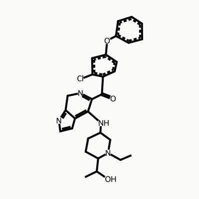 CCN1CC(NC2=C3C=CN=C3CN=C2C(=O)c2ccc(Oc3ccccc3)cc2Cl)CCC1C(C)O